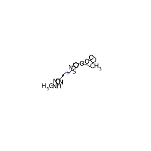 CCC(COc1ccc2nc(/C=C/C#Cc3cnc(NC)cn3)sc2c1)OC1CCCCO1